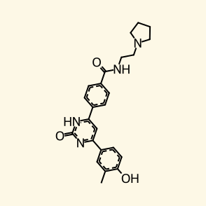 Cc1cc(-c2cc(-c3ccc(C(=O)NCCN4CCCC4)cc3)[nH]c(=O)n2)ccc1O